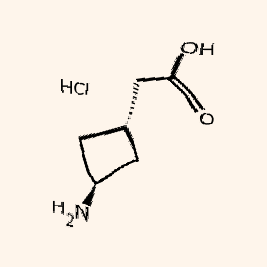 Cl.N[C@H]1C[C@H](CC(=O)O)C1